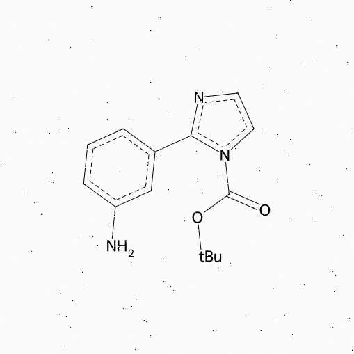 CC(C)(C)OC(=O)n1ccnc1-c1cccc(N)c1